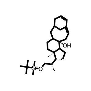 C[C@H](CO[Si](C)(C)C(C)(C)C)[C@H]1CCC2[C@]3(O)C/C=C4/C=CCC(C4)CC3CC[C@@]21C